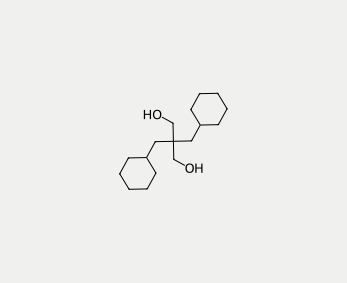 OCC(CO)(CC1CCCCC1)CC1CCCCC1